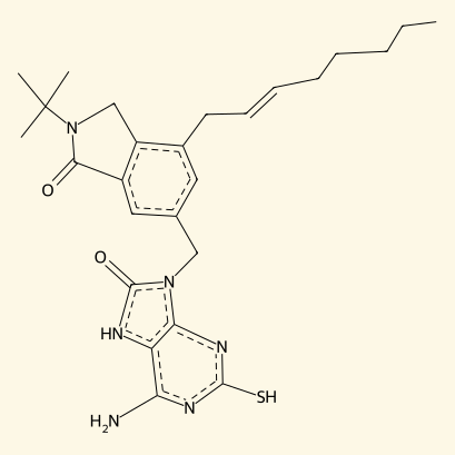 CCCCC/C=C/Cc1cc(Cn2c(=O)[nH]c3c(N)nc(S)nc32)cc2c1CN(C(C)(C)C)C2=O